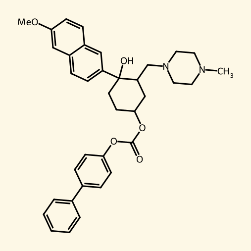 COc1ccc2cc(C3(O)CCC(OC(=O)Oc4ccc(-c5ccccc5)cc4)CC3CN3CCN(C)CC3)ccc2c1